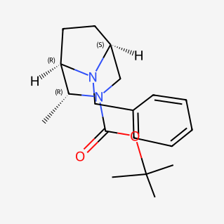 C[C@@H]1[C@H]2CC[C@@H](CN1C(=O)OC(C)(C)C)N2Cc1ccccc1